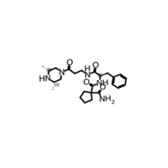 C[C@@H]1CN(C(=O)CCNC(=O)[C@@H](Cc2ccccc2)NC(=O)C2(C(N)=O)CCCC2)C[C@H](C)N1